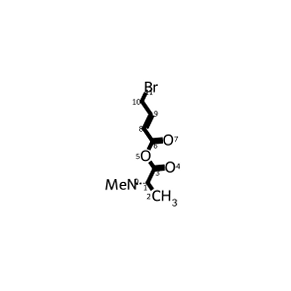 CN[C@@H](C)C(=O)OC(=O)C=CCBr